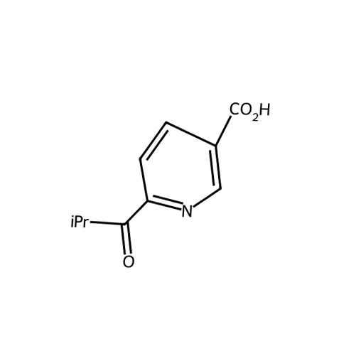 CC(C)C(=O)c1ccc(C(=O)O)cn1